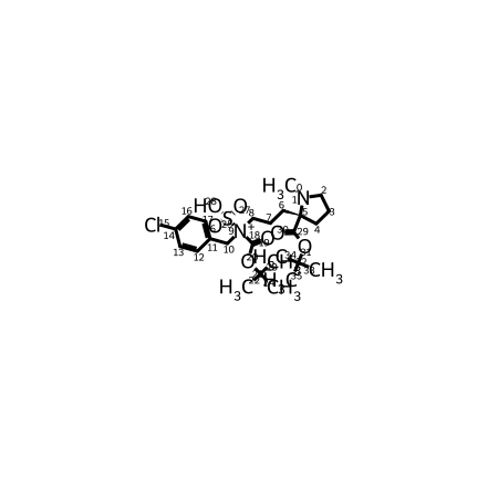 CN1CCC[C@]1(CCC[N+](Cc1ccc(Cl)cc1)(C(=O)OC(C)(C)C)S(=O)(=O)O)C(=O)OC(C)(C)C